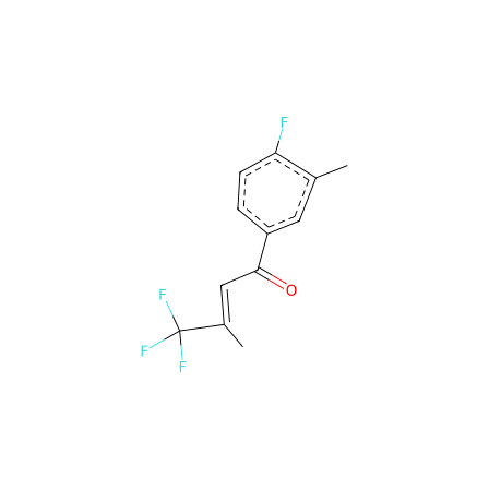 C/C(=C\C(=O)c1ccc(F)c(C)c1)C(F)(F)F